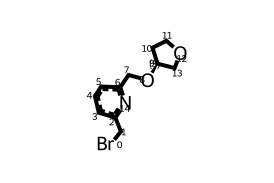 BrCc1cccc(CO[C@H]2CCOC2)n1